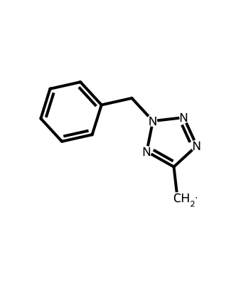 [CH2]c1nnn(Cc2ccccc2)n1